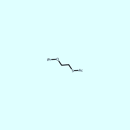 CC(=O)SCCOC(C)C